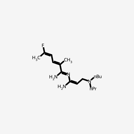 CCCCN(C\C=C(N)/N=C(N)/C(C)=C/C=C(\C)F)CCC